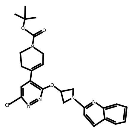 CC(C)(C)OC(=O)N1CC=C(c2cc(Cl)nnc2OC2CN(c3ccc4ccccc4n3)C2)CC1